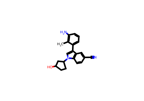 Cc1c(N)cccc1-c1cn(C2CCC(O)C2)c2ccc(C#N)cc12